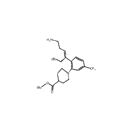 CC(C)(C)C/C(=C\CCN)c1ccc(C(F)(F)F)cc1N1CCC(C(=O)OC(C)(C)C)CC1